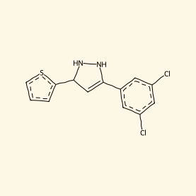 Clc1cc(Cl)cc(C2=CC(c3cccs3)NN2)c1